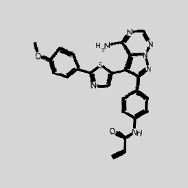 C=CC(=O)Nc1ccc(-c2nn3ncnc(N)c3c2-c2cnc(-c3ccc(OC)cc3)s2)cc1